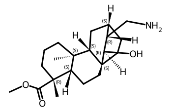 COC(=O)[C@]1(C)CCC[C@@]2(C)[C@@H]3C[C@@H]4CC[C@@]3(CC[C@@H]21)[C@H](O)[C@H]4CN